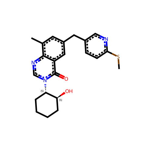 CSc1ccc(Cc2cc(C)c3ncn([C@H]4CCCC[C@@H]4O)c(=O)c3c2)cn1